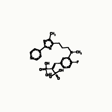 Cc1sc(-c2ccncc2)nc1CCCN(C)c1cc(C=C(P(=O)(O)O)P(=O)(O)O)ccc1F